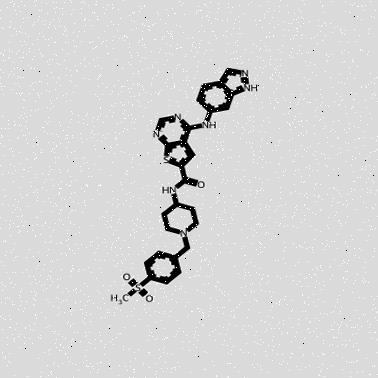 CS(=O)(=O)c1ccc(CN2CCC(NC(=O)c3cc4c(Nc5ccc6cn[nH]c6c5)ncnc4s3)CC2)cc1